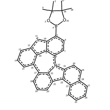 CC1(C)OB(c2ccc3c4c2sc2cccc(c5cccc6c7c8ccccc8ccc7n3c56)c24)OC1(C)C